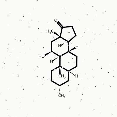 C[C@@H]1CC[C@@]2(C)[C@@H](CC[C@@H]3[C@@H]2[C@@H](O)C[C@]2(C)C(=O)CC[C@@H]32)C1